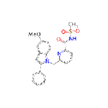 COc1ccc2c(c1)cc(-c1ccccc1)n2Cc1cccc(C(=O)NS(C)(=O)=O)n1